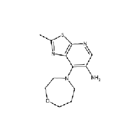 Cc1nc2c(N3CCCOCC3)c(N)cnc2s1